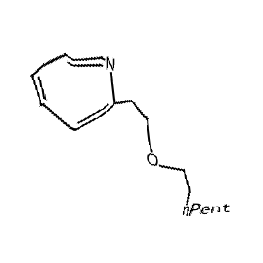 CCCCCCOCc1ccccn1